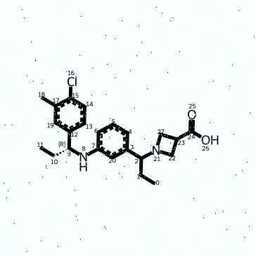 CCC(c1cccc(N[C@H](CC)c2ccc(Cl)c(C)c2)c1)N1CC(C(=O)O)C1